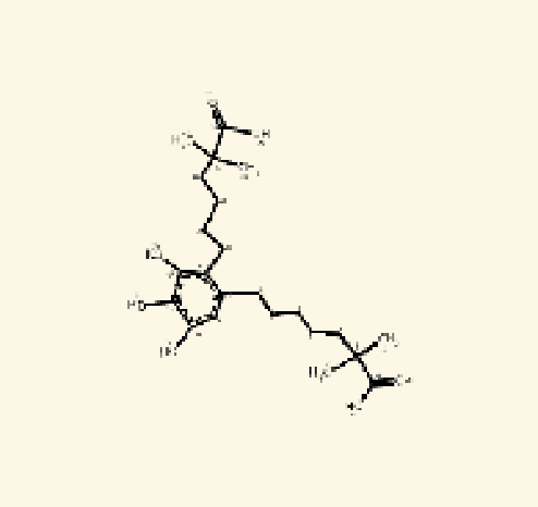 CC(C)(CCCCCc1cc(O)c(O)c(O)c1CCCCC(C)(C)C(=O)O)C(=O)O